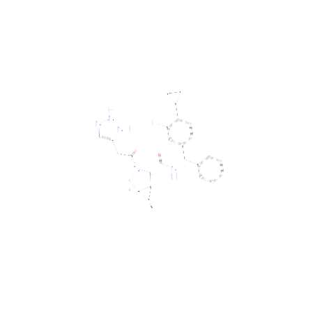 C[C@@H]1C2[C@@H](C(=O)N[C@@H](c3ccccc3)c3ccc(C4CC4)c(F)c3)N(C(=O)CC3=CNNN3)C[C@@H]21